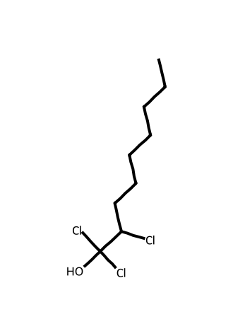 CCCCCCCC(Cl)C(O)(Cl)Cl